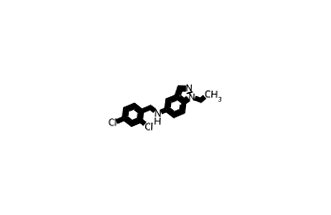 CCn1ncc2cc(NCc3ccc(Cl)cc3Cl)ccc21